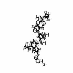 COCc1cn2c(Nc3cc([C@@H]4OC[C@H](OC(=O)NC56CC(C5)C6)[C@@H]4F)[nH]n3)ncc(C(F)(F)F)c2n1